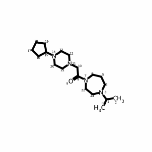 CC(C)N1CCCN(C(=O)CN2CCN(C3CCCC3)CC2)CC1